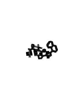 C[C@H](N)C(=O)N[C@H](C(=O)N1CCCC1c1nc(-c2cccc3ccccc23)cs1)C(C)(C)C